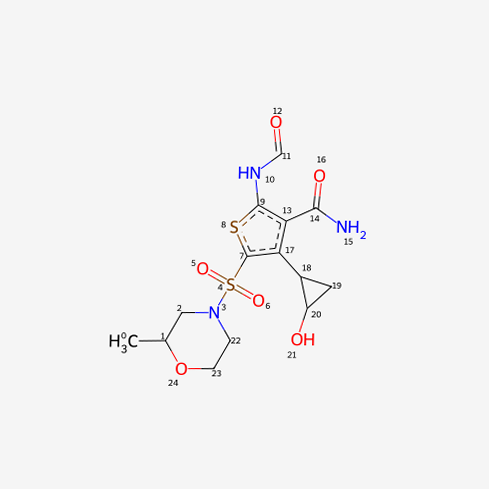 CC1CN(S(=O)(=O)c2sc(NC=O)c(C(N)=O)c2C2CC2O)CCO1